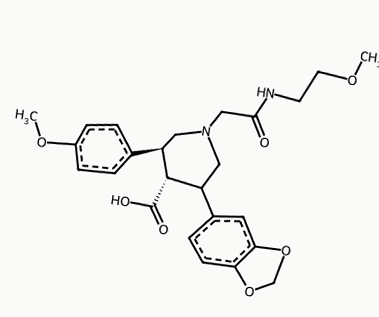 COCCNC(=O)CN1CC(c2ccc3c(c2)OCO3)[C@H](C(=O)O)[C@@H](c2ccc(OC)cc2)C1